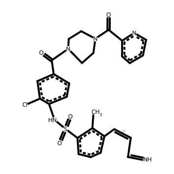 Cc1c(/C=C\C=N)cccc1S(=O)(=O)Nc1ccc(C(=O)N2CCN(C(=O)c3ccccn3)CC2)cc1Cl